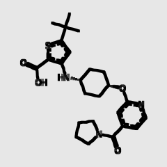 CC(C)(C)c1cc(N[C@H]2CC[C@H](Oc3cc(C(=O)N4CCCC4)ccn3)CC2)c(C(=O)O)s1